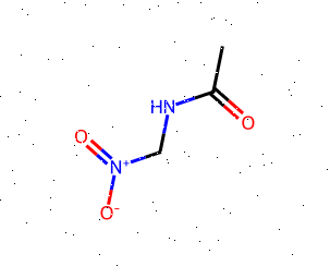 CC(=O)NC[N+](=O)[O-]